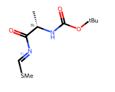 CS/C=N/C(=O)[C@H](C)NC(=O)OC(C)(C)C